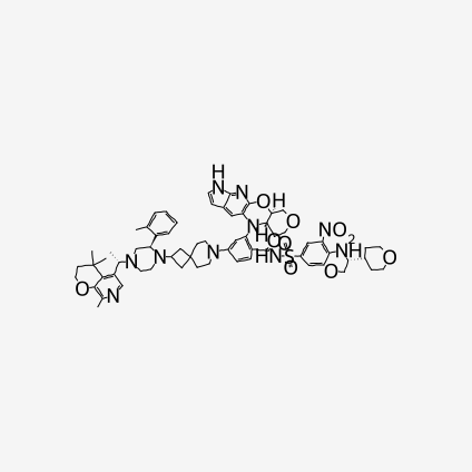 Cc1ccccc1[C@@H]1CN([C@@H](C)c2cnc(C)c3c2C(C)(C)CCO3)CCN1C1CC2(CCN(c3ccc(C(=O)NS(=O)(=O)c4cc5c(c([N+](=O)[O-])c4)N[C@H](C4CCOCC4)CO5)c(N4c5cc6cc[nH]c6nc5O[C@H]5COCC[C@@H]54)c3)CC2)C1